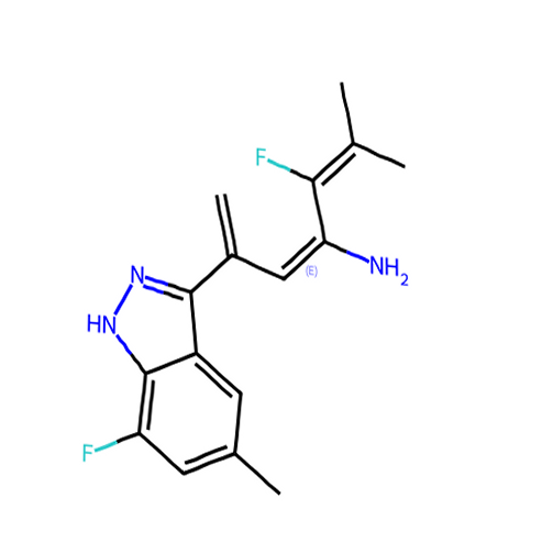 C=C(/C=C(/N)C(F)=C(C)C)c1n[nH]c2c(F)cc(C)cc12